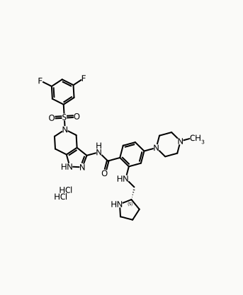 CN1CCN(c2ccc(C(=O)Nc3n[nH]c4c3CN(S(=O)(=O)c3cc(F)cc(F)c3)CC4)c(NC[C@@H]3CCCN3)c2)CC1.Cl.Cl